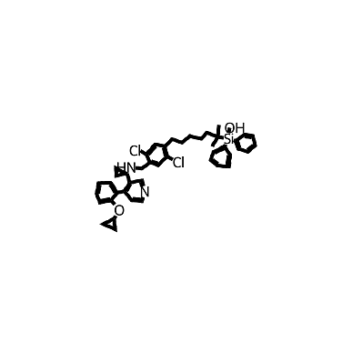 CC(C)(CCCCCc1cc(Cl)c(CNC2(c3cnccc3-c3ccccc3OC3CC3)CC2)cc1Cl)[Si](O)(c1ccccc1)c1ccccc1